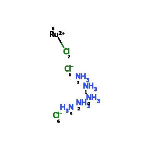 N.N.N.N.N.[Cl-].[Cl-].[Cl][Ru+2]